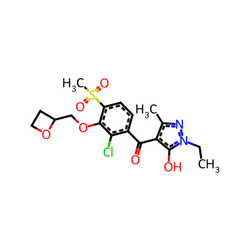 CCn1nc(C)c(C(=O)c2ccc(S(C)(=O)=O)c(OCC3CCO3)c2Cl)c1O